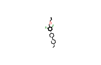 C=CCOCc1c(F)cc([C@H]2CC[C@H]([C@H]3CC[C@H](CC)CC3)CC2)cc1F